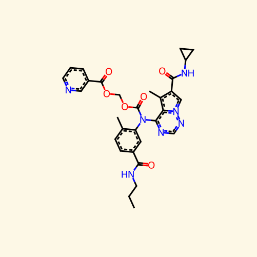 CCCNC(=O)c1ccc(C)c(N(C(=O)OCOC(=O)c2cccnc2)c2ncnn3cc(C(=O)NC4CC4)c(C)c23)c1